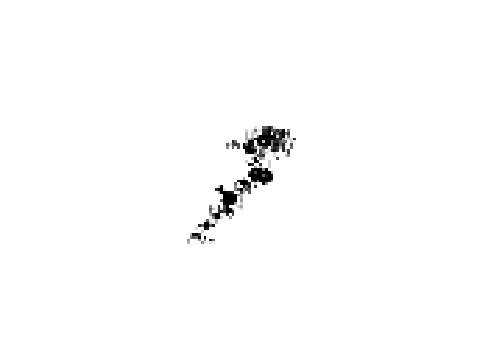 Bc1c(B)c(C(B)(B)B)c(B)c(B)c1-n1nc(C(C)(C)C)cc1NC(=O)Nc1ccc(Oc2ccnc(Nc3cc(C#C)cc(C(=O)NCCOCCOCCOC)c3)n2)c2ccccc12